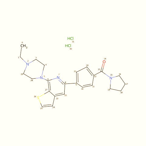 CCN1CCN(c2nc(-c3ccc(C(=O)N4CCCC4)cc3)cc3ccsc23)CC1.Cl.Cl